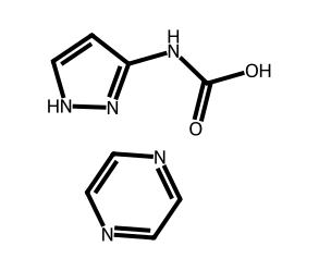 O=C(O)Nc1cc[nH]n1.c1cnccn1